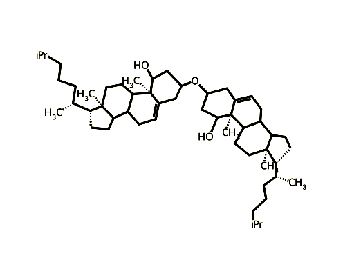 CC(C)CCC[C@@H](C)[C@H]1CCC2C3CC=C4CC(OC5CC6=CCC7C(CC[C@@]8(C)C7CC[C@@H]8[C@H](C)CCCC(C)C)[C@@]6(C)C(O)C5)CC(O)[C@]4(C)C3CC[C@@]21C